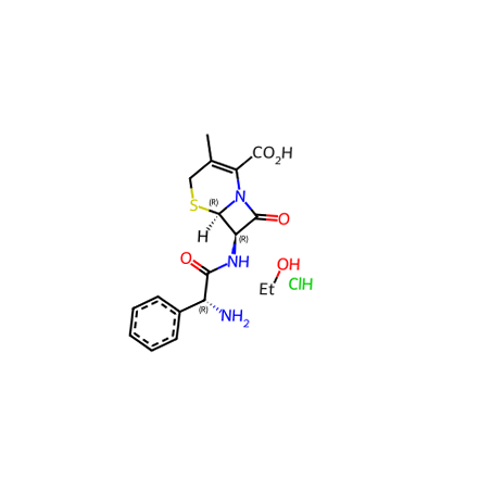 CC1=C(C(=O)O)N2C(=O)[C@@H](NC(=O)[C@H](N)c3ccccc3)[C@H]2SC1.CCO.Cl